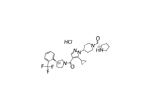 Cl.O=C(c1cnn(C2CCN(C(=O)[C@@H]3CCCN3)CC2)c1C1CC1)N1CC[C@@H](c2ccccc2C(F)(F)F)C1